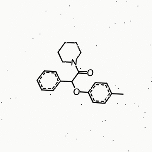 Cc1ccc(OC(C(=O)N2CCCCC2)c2ccccc2)cc1